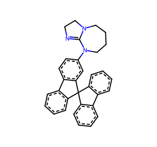 c1ccc2c(c1)-c1ccccc1C21c2ccccc2-c2ccc(N3CCCCN4CCN=C43)cc21